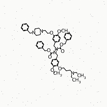 CCN(CC)CCCOc1cc(CN(C(=O)OCc2ccccc2)N(Cc2ccc(OC)c(OCCN3CCN(Cc4ccccc4)CC3)c2)C(=O)OCc2ccccc2)ccc1OC